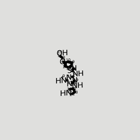 CNc1nc(Nc2nc3ccc(OCCO)cc3s2)nc(N[C@@H]2CCNC2)n1